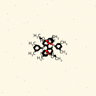 CCOc1cc(P(c2cc(C)cc(C)c2)c2cc(C)cc(C)c2)c(-c2c(P(c3cc(C)cc(C)c3)c3cc(C)cc(C)c3)cc(OCC)c3c2OC(F)(F)O3)c2c1OC(F)(F)O2